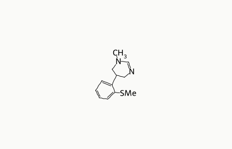 CSc1ccccc1C1CN=CN(C)C1